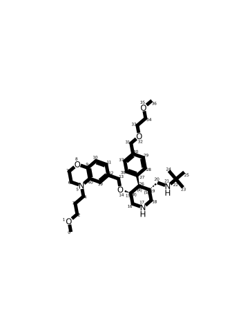 COCCCN1CCOc2ccc(CO[C@H]3CNC[C@@H](CNC(C)(C)C)[C@@H]3c3ccc(COCCOC)cc3)cc21